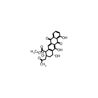 COC(=O)C1c2cc3c(c(O)c2[C@H](O)C[C@@]1(O)CC(C)=O)C(=O)c1c(O)cccc1C3=O